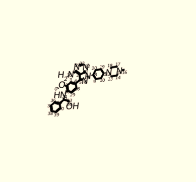 COc1cc(-c2nn([C@H]3CC[C@@H](N4CCN(C)CC4)CC3)c3ncnc(N)c23)ccc1NC(CO)c1ccccc1